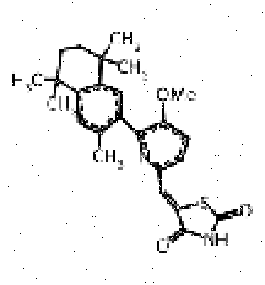 COc1ccc(/C=C2\SC(=O)NC2=O)nc1-c1cc2c(cc1C)C(C)(C)CCC2(C)C